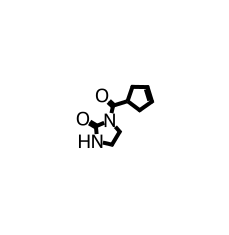 O=C1NCCN1C(=O)C1CC=CC1